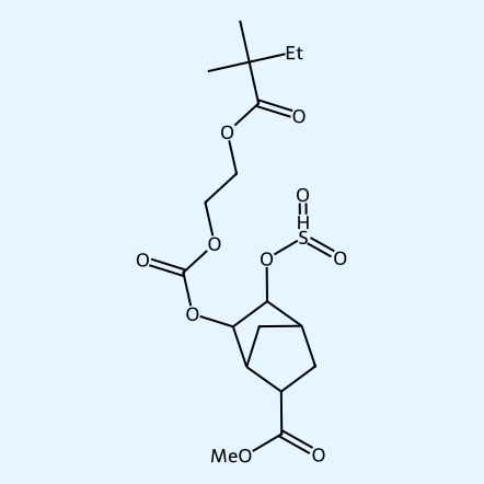 CCC(C)(C)C(=O)OCCOC(=O)OC1C2CC(CC2C(=O)OC)C1O[SH](=O)=O